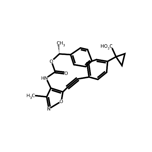 Cc1noc(C#Cc2ccc(C3(C(=O)O)CC3)cc2)c1NC(=O)O[C@H](C)c1ccccc1